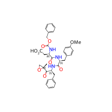 COc1ccc(C[C@H](NC(=O)[C@@H](CC(=O)O)NC(=O)OCc2ccccc2)C(=O)N[C@@H](Cc2ccccc2)C(=O)[C@@]2(C)CO2)cc1